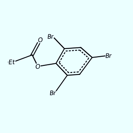 C[CH]C(=O)Oc1c(Br)cc(Br)cc1Br